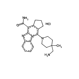 CC1(CN)CCN(c2c3c(c(C(N)=O)c4nc5ccccc5n24)CCC3)CC1.Cl